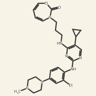 CCc1cc(N2CCN(C)CC2)ccc1Nc1ncc(C2CC2)c(NCCCN2C=CC=COC2=O)n1